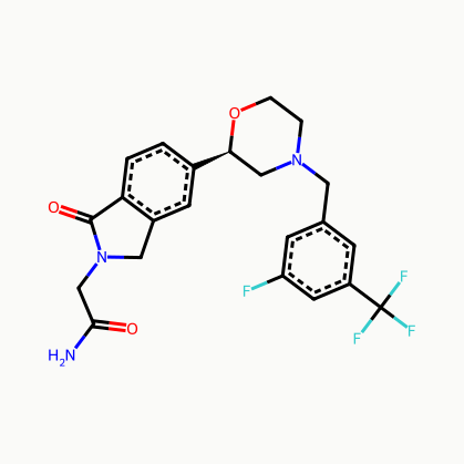 NC(=O)CN1Cc2cc([C@@H]3CN(Cc4cc(F)cc(C(F)(F)F)c4)CCO3)ccc2C1=O